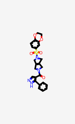 O=C(c1cn[nH]c1-c1ccccc1)N1CC2=C(C1)CN(S(=O)(=O)c1ccc3c(c1)OCCO3)C2